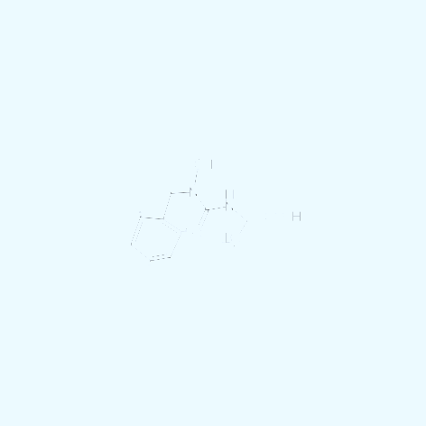 CN(Cc1ccccc1)C(=O)N[C@H](C(=O)O)C(C)(C)C